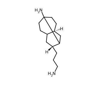 NCCC[C@@H]1CC2CCC3(N)CC[C@H]2CC13